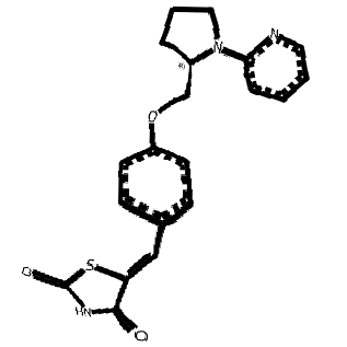 O=C1NC(=O)C(=Cc2ccc(OC[C@H]3CCCN3c3ccccn3)cc2)S1